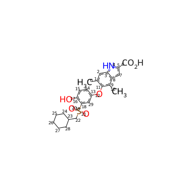 Cc1cc2[nH]c(C(=O)O)cc2c(C)c1Oc1ccc(O)c(S(=O)(=O)CC2CCCCC2)c1